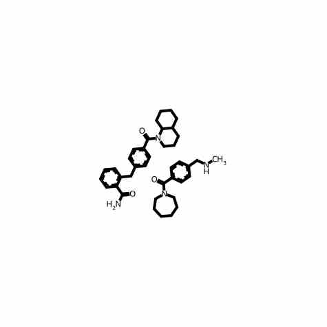 CNCc1ccc(C(=O)N2CCCCCC2)cc1.NC(=O)c1ccccc1Cc1ccc(C(=O)N2CCCC3CCCCC32)cc1